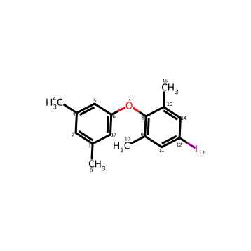 Cc1cc(C)cc(Oc2c(C)cc(I)cc2C)c1